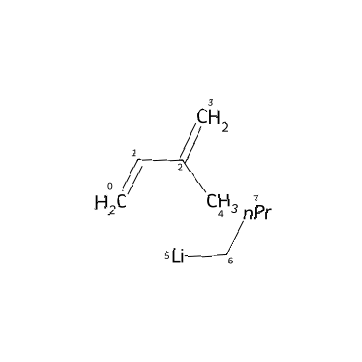 C=CC(=C)C.[Li][CH2]CCC